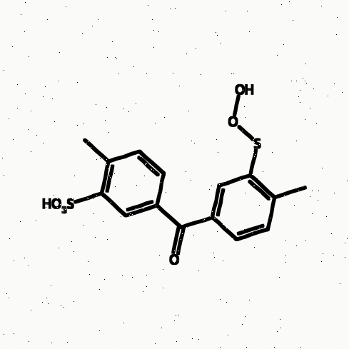 Cc1ccc(C(=O)c2ccc(C)c(S(=O)(=O)O)c2)cc1SOO